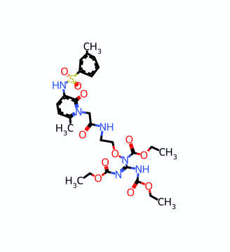 CCOC(=O)N=C(NC(=O)OCC)N(OCCNC(=O)Cn1c(C)ccc(NS(=O)(=O)c2cccc(C)c2)c1=O)C(=O)OCC